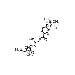 CCC(C)(C)C(=O)OCC(O)COC(=O)c1ccc(OC(C)(C)C)cc1